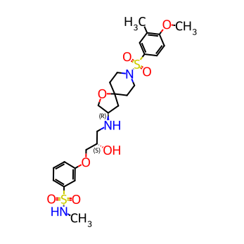 CNS(=O)(=O)c1cccc(OC[C@@H](O)CN[C@H]2COC3(CCN(S(=O)(=O)c4ccc(OC)c(C)c4)CC3)C2)c1